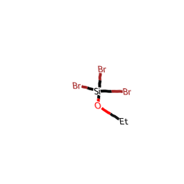 CCO[Si](Br)(Br)Br